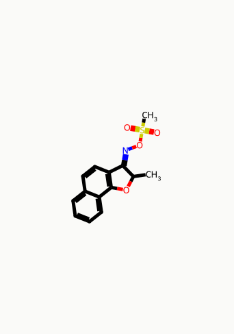 CC1Oc2c(ccc3ccccc23)/C1=N/OS(C)(=O)=O